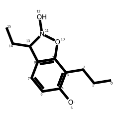 CCCc1c([O])ccc2c1ON(O)C2CC